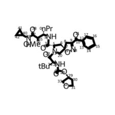 CCC[C@H](NC(=O)[C@@H]1C[C@]2(CC(C(=O)c3ccccc3)=NO2)CN1C(=O)[C@@H](NC(=O)O[C@H]1CCOC1)C(C)(C)C)C(OC)C(=O)NC1CC1